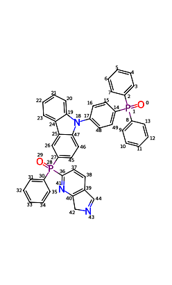 O=P(c1ccccc1)(c1ccccc1)c1ccc(-n2c3ccccc3c3cc(P(=O)(c4ccccc4)c4ccc5c(n4)CN=C5)ccc32)cc1